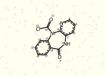 O=C1Nc2cccnc2N(C(=O)Cl)c2ccccc21